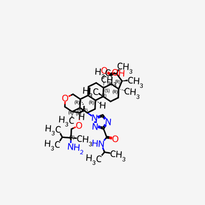 CC(C)NC(=O)c1ncn([C@@H]2C[C@@]34COC[C@@](C)([C@@H]3CC[C@H]3C4=CC[C@@]4(C)[C@H](C(=O)O)[C@@](C)([C@H](C)C(C)C)CC[C@]34C)[C@H]2OC[C@](C)(N)C(C)C)n1